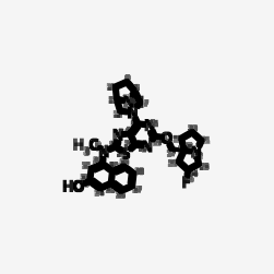 CN(c1nc2c(N3CC4CCC(C3)N4)nc(OC[C@@]34CCCN3CC(F)C4)nc2s1)c1cc(O)cc2ccccc12